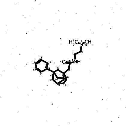 CN(C)CCNC(=O)CC12CC3CC1CC(c1ccccc1)(C3)C2